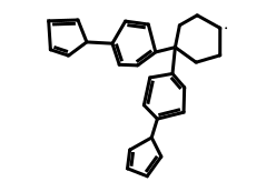 [CH]1CCC(c2ccc(C3C=CC=C3)cc2)(c2ccc(C3C=CC=C3)cc2)CC1